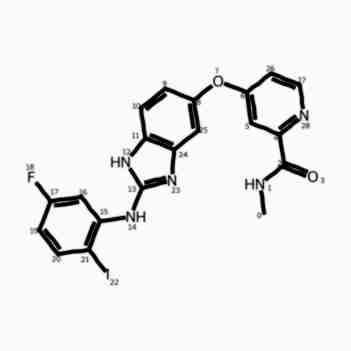 CNC(=O)c1cc(Oc2ccc3[nH]c(Nc4cc(F)ccc4I)nc3c2)ccn1